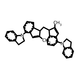 CC1=Cc2c(cccc2N2CCc3ccccc32)C1CC1C(C)=Cc2c1cccc2N1CCc2ccccc21